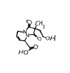 CC1(CCO)C(=O)N2CC=CC(C(=O)O)N2C1=O